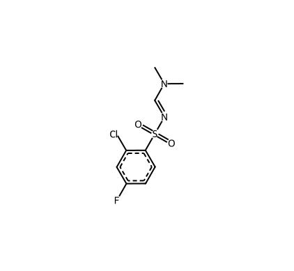 CN(C)C=NS(=O)(=O)c1ccc(F)cc1Cl